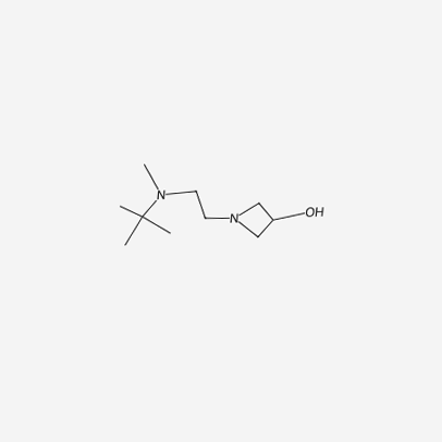 CN(CCN1CC(O)C1)C(C)(C)C